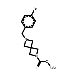 CC(C)(C)OC(=O)N1CC2(CN(Cc3ccc(Br)cc3)C2)C1